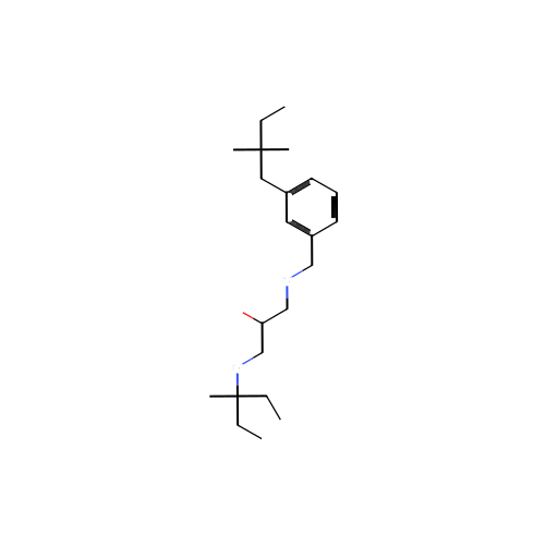 CCC(C)(C)Cc1cccc(CNCC(O)CNC(C)(CC)CC)c1